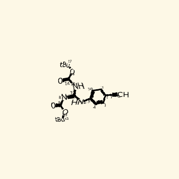 C#Cc1ccc(NC(=NC(=O)OC(C)(C)C)NC(=O)OC(C)(C)C)cc1